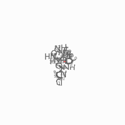 Cc1cc(NC(=O)c2ccc(Cl)cn2)cc([C@@]2(C(F)F)N=C(N)ON[C@@H]3C[C@@H]32)c1F